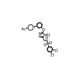 CCn1c(Oc2cccc(N3CCN(C(C)=O)CC3)c2)nnc1[C@@H](C)NS(=O)(=O)c1ccc(Cl)c(Cl)c1